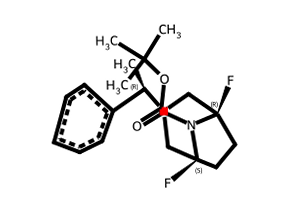 C[C@H](c1ccccc1)N1C[C@]2(F)CC[C@](F)(C1)N2C(=O)OC(C)(C)C